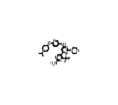 CC(C)N1CCC(Oc2ccc(Nc3cc(-c4cnc(N)nc4C(F)(F)F)nc(N4CCOCC4)n3)cn2)CC1